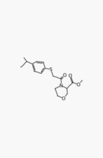 COC(=O)C1COCCN1C(=O)CSc1ccc(C(C)C)cc1